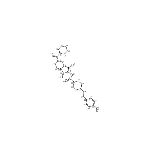 O=C(ON1C(=O)C2CN(C(=O)N3CCCCC3)CCN2C1=O)N1CCC(CCc2ccc(Cl)cc2)CC1